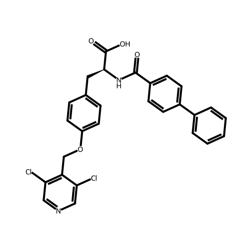 O=C(N[C@@H](Cc1ccc(OCc2c(Cl)cncc2Cl)cc1)C(=O)O)c1ccc(-c2ccccc2)cc1